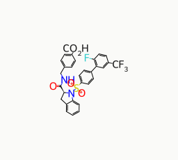 O=C(O)c1ccc(CNC(=O)[C@@H]2Cc3ccccc3N2S(=O)(=O)c2ccc(-c3cc(C(F)(F)F)ccc3F)cc2)cc1